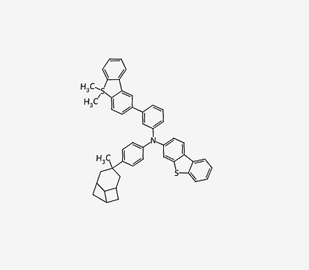 CC1(c2ccc(N(c3cccc(-c4ccc5c(c4)-c4ccccc4S5(C)C)c3)c3ccc4c(c3)sc3ccccc34)cc2)CC2CC3CC(C1)C32